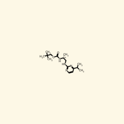 CC(C)c1ccnc(NC[C@@H](C)NC(=O)OCC(C)(C)C)n1